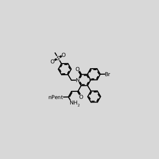 CCCCCC(N)=CC(=O)c1c(-c2ccccc2)c2cc(Br)ccc2c(=O)n1Cc1ccc(S(C)(=O)=O)cc1